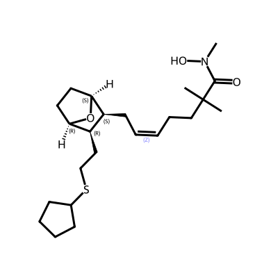 CN(O)C(=O)C(C)(C)CC/C=C\C[C@H]1[C@@H](CCSC2CCCC2)[C@H]2CC[C@@H]1O2